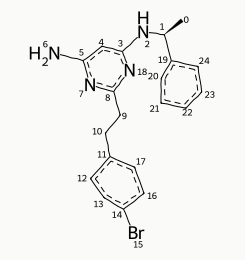 C[C@H](Nc1cc(N)nc(CCc2ccc(Br)cc2)n1)c1ccccc1